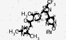 Cc1nc(C)n(CC(=O)N2CCN(c3sc(C(F)(F)F)nc3-c3cnc(OC(C)C)nc3)CC2C)n1